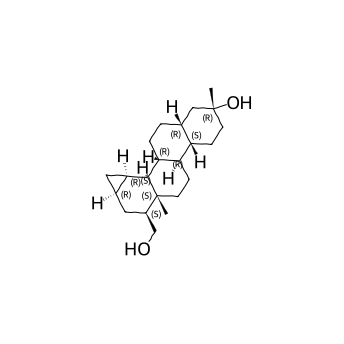 C[C@@]1(O)CC[C@H]2[C@H](CC[C@@H]3[C@@H]2CC[C@]2(C)[C@@H](CO)C[C@H]4C[C@H]4[C@@H]32)C1